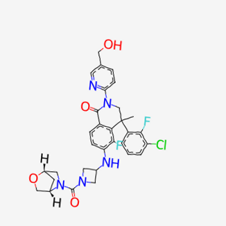 CC1(c2cccc(Cl)c2F)CN(c2ccc(CO)cn2)C(=O)c2ccc(NC3CN(C(=O)N4C[C@@H]5C[C@H]4CO5)C3)c(F)c21